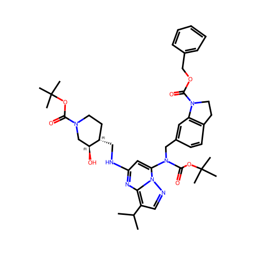 CC(C)c1cnn2c(N(Cc3ccc4c(c3)N(C(=O)OCc3ccccc3)CC4)C(=O)OC(C)(C)C)cc(NC[C@H]3CCN(C(=O)OC(C)(C)C)C[C@@H]3O)nc12